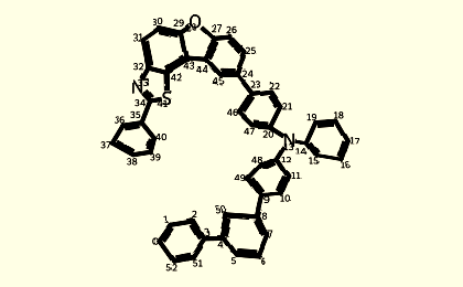 c1ccc(-c2cccc(-c3ccc(N(c4ccccc4)c4ccc(-c5ccc6oc7ccc8nc(-c9ccccc9)sc8c7c6c5)cc4)cc3)c2)cc1